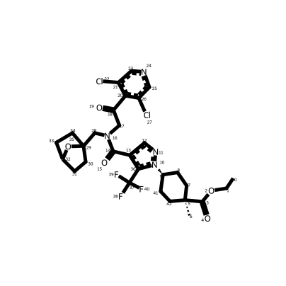 CCOC(=O)[C@]1(C)CC[C@@H](n2ncc(C(=O)N(CC(=O)c3c(Cl)cncc3Cl)CC34CCC(CC3)O4)c2C(F)(F)F)CC1